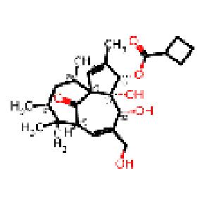 CC1=C[C@]23C(=O)[C@@H](C=C(CO)[C@@H](O)[C@]2(O)[C@H]1OC(=O)C1CCC1)C(C)(C)[C@@H](C)C[C@H]3C